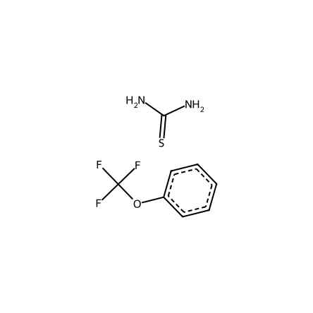 FC(F)(F)Oc1ccccc1.NC(N)=S